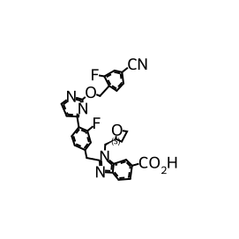 N#Cc1ccc(COc2nccc(-c3ccc(Cc4nc5ccc(C(=O)O)cc5n4C[C@@H]4CCO4)cc3F)n2)c(F)c1